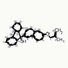 C=C(C)COc1ccc2cc(C3(O)c4ccccc4-c4ccccc43)ccc2c1